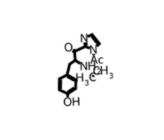 CC.CC(=O)n1ccnc1C(=O)C(N)Cc1ccc(O)cc1